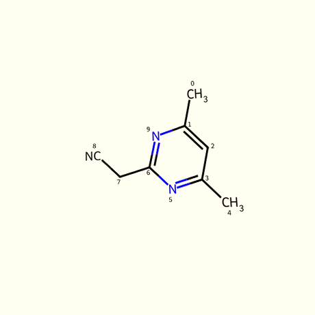 Cc1cc(C)nc(CC#N)n1